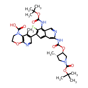 Cc1c(-c2cc3cc(NC(=O)O[C@H]4CN(C(=O)OC(C)(C)C)C[C@@H]4C)ncc3c(NC(=O)OC(C)(C)C)c2F)cnc2c1N(C(=O)O)CCO2